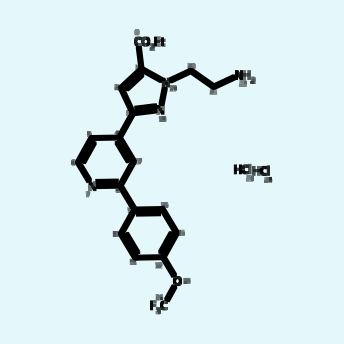 CCOC(=O)c1cc(-c2ccnc(-c3ccc(OC(F)(F)F)cc3)c2)nn1CCN.Cl.Cl